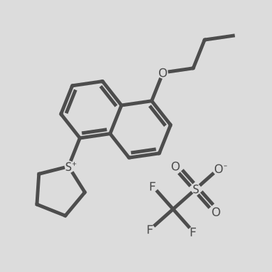 CCCOc1cccc2c([S+]3CCCC3)cccc12.O=S(=O)([O-])C(F)(F)F